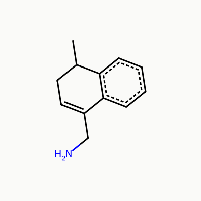 CC1CC=C(CN)c2ccccc21